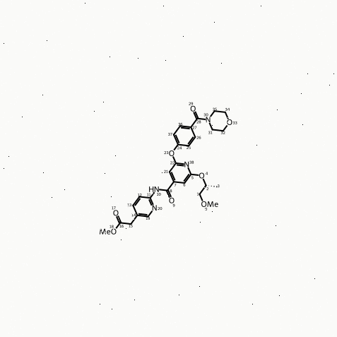 COC[C@@H](C)Oc1cc(C(=O)Nc2ccc(CC(=O)OC)cn2)cc(Oc2ccc(C(=O)N3CCOCC3)cc2)n1